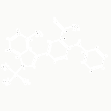 CC(C)(C)n1cc(-c2ccc(Oc3ccccc3)c(C(N)=O)c2)c2c(N)ncnc21